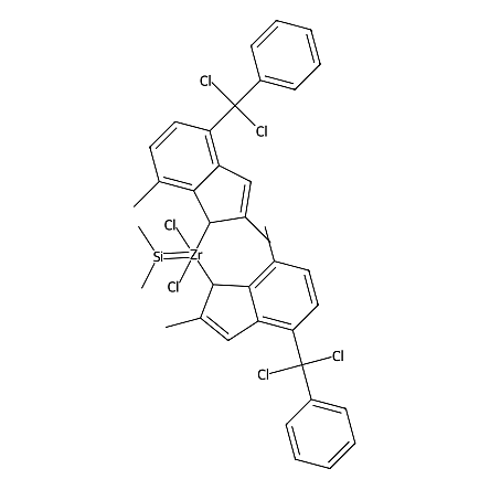 CC1=Cc2c(C(Cl)(Cl)c3ccccc3)ccc(C)c2[CH]1[Zr]([Cl])([Cl])([CH]1C(C)=Cc2c(C(Cl)(Cl)c3ccccc3)ccc(C)c21)=[Si](C)C